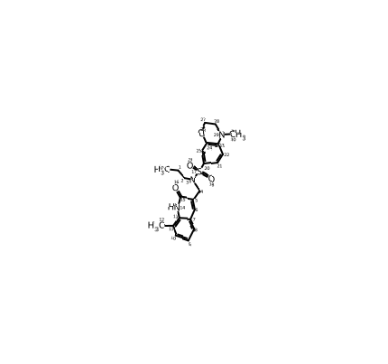 CCCN(Cc1cc2cccc(C)c2[nH]c1=O)S(=O)(=O)c1ccc2c(c1)OCCN2C